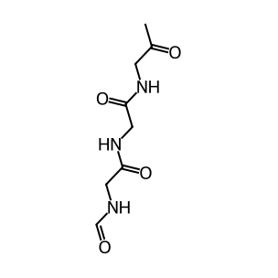 CC(=O)CNC(=O)CNC(=O)CNC=O